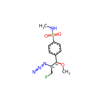 CNS(=O)(=O)c1ccc([C@@H](OC)[C@@H](CF)N=[N+]=[N-])cc1